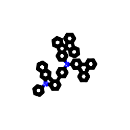 c1ccc(-n2c3cc4ccccc4cc3c3c(-c4ccc(N(c5ccc6c(c5)C5(c7ccccc7-c7ccccc75)c5ccccc5-6)c5ccc6c7ccccc7c7ccccc7c6c5)cc4)cccc32)cc1